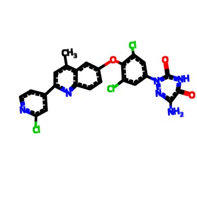 Cc1cc(-c2ccnc(Cl)c2)nc2ccc(Oc3c(Cl)cc(-n4nc(N)c(=O)[nH]c4=O)cc3Cl)cc12